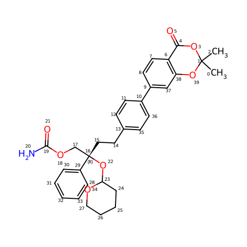 CC1(C)OC(=O)c2ccc(-c3ccc(CC[C@@](COC(N)=O)(OC4CCCCO4)c4ccccc4)cc3)cc2O1